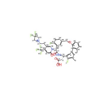 Cc1cc2cc(c1F)[C@H](CC(=O)O)NC(=O)[C@H](n1cc(CCN3CC(F)(F)C3)c(C(F)(F)F)cc1=O)c1cc(ccc1F)COc1cccc(C)c1-2